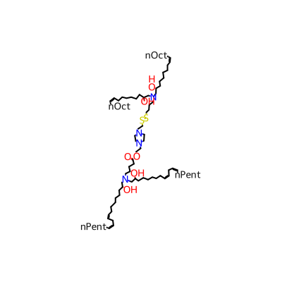 CCCCC/C=C\C/C=C\CCCCCCC(O)CN(CCCCC(=O)OCCN1CCN(CCSSCCCCN(CC(O)CCCCCC/C=C\CCCCCCCC)CC(O)CCCCCC/C=C\CCCCCCCC)CC1)CC(O)CCCCCC/C=C\C/C=C\CCCCC